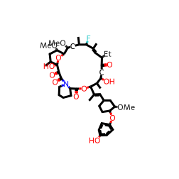 CCC1/C=C(\C)C(F)C(C)CC(OC)C2OC(O)(C(=O)C(=O)N3CCCCC3C(=O)OC(C(C)=CC3CCC(Oc4ccc(O)cc4)C(OC)C3)C(C)C(O)CC1=O)C(C)CC2OC